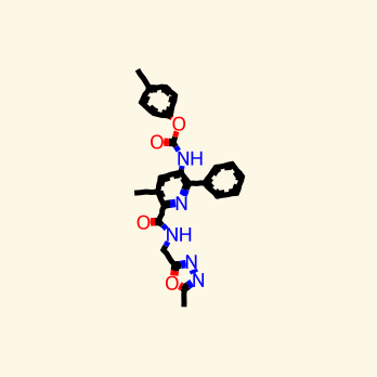 Cc1ccc(OC(=O)Nc2cc(C)c(C(=O)NCc3nnc(C)o3)nc2-c2ccccc2)cc1